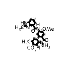 COc1cc(C(=O)N(C)c2ccc(C)cc2C(=O)O)ccc1NC(=O)c1cccc2[nH]c(C)nc12